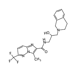 Cc1c(C(=O)NCC(O)CN2CCc3ccccc3C2)nc2ccc(C(F)(F)F)nn12